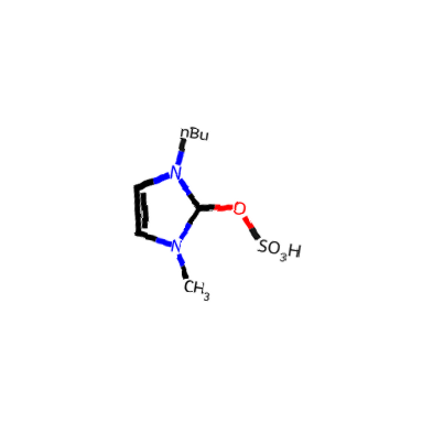 CCCCN1C=CN(C)C1OS(=O)(=O)O